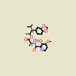 COc1ccnc(C(=O)N[C@@H](C)C(=O)O[C@@H](C)[C@H](c2ccc3c(c2)OCO3)C(C)C)c1O